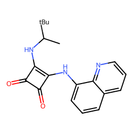 CC(Nc1c(Nc2cccc3cccnc23)c(=O)c1=O)C(C)(C)C